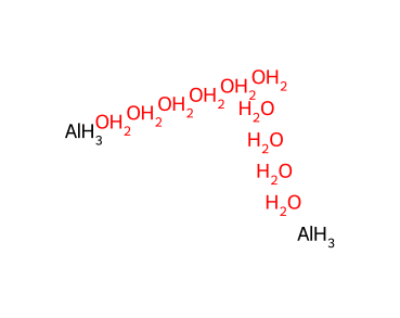 O.O.O.O.O.O.O.O.O.O.[AlH3].[AlH3]